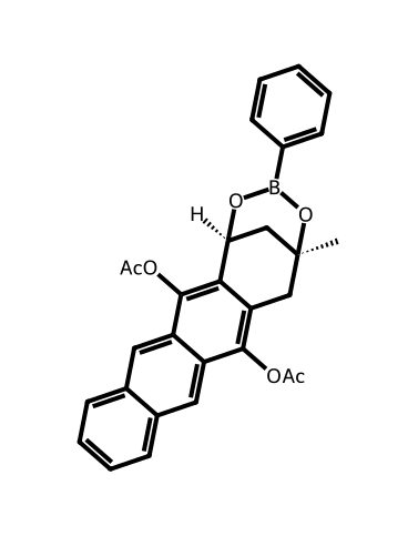 CC(=O)Oc1c2c(c(OC(C)=O)c3cc4ccccc4cc13)[C@@H]1C[C@](C)(C2)OB(c2ccccc2)O1